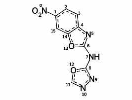 O=[N+]([O-])c1ccc2nc(Nc3nnco3)oc2c1